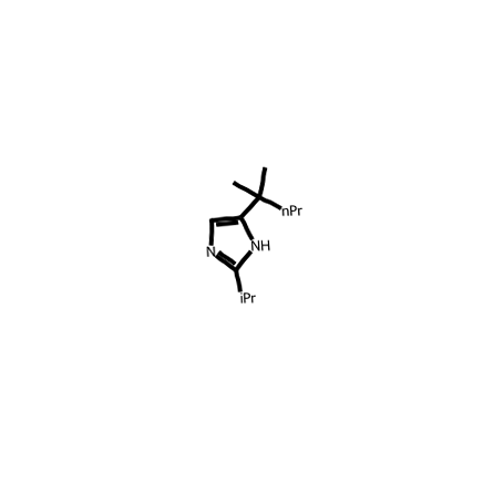 CCCC(C)(C)c1cnc(C(C)C)[nH]1